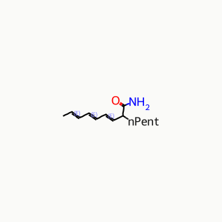 C/C=C/C=C/C=C/C(CCCCC)C(N)=O